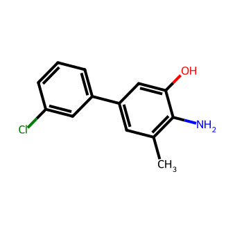 Cc1cc(-c2cccc(Cl)c2)cc(O)c1N